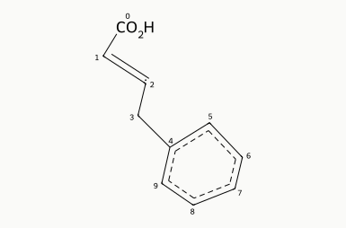 O=C(O)/C=[C]/Cc1ccccc1